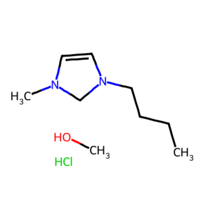 CCCCN1C=CN(C)C1.CO.Cl